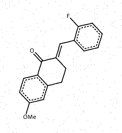 COc1ccc2c(c1)CCC(=Cc1ccccc1F)C2=O